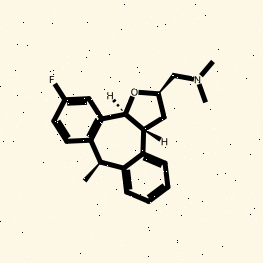 C[C@@H]1c2ccccc2[C@H]2C[C@H](CN(C)C)O[C@@H]2c2cc(F)ccc21